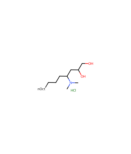 CCCCCCCCCCCC(CC(O)CO)N(C)C.Cl